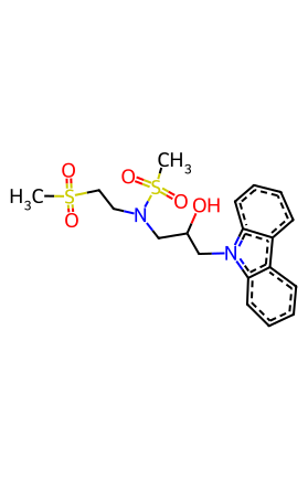 CS(=O)(=O)CCN(CC(O)Cn1c2ccccc2c2ccccc21)S(C)(=O)=O